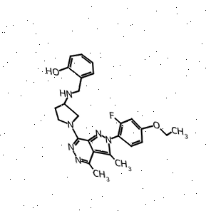 CCOc1ccc(-n2nc3c(N4CCC(NCc5ccccc5O)C4)nnc(C)c3c2C)c(F)c1